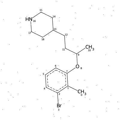 Cc1c(Br)cccc1OC(C)CCC1CCNCC1